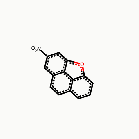 O=[N+]([O-])c1cc2ccc3cccc4oc(c1)c2c34